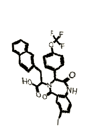 O=C(O)C(Cc1ccc2ccccc2c1)N1C(=O)c2cc(I)ccc2NC(=O)C1c1ccc(OC(F)(F)F)cc1